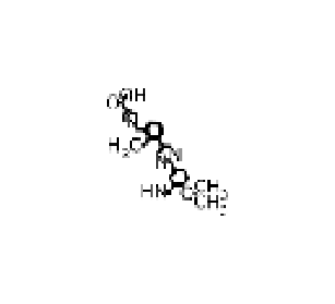 CCc1c(CN2CC(C(=O)O)C2)cccc1-c1cnc(C2=CC(C=N)=C(OC(C)C)CC2)nc1